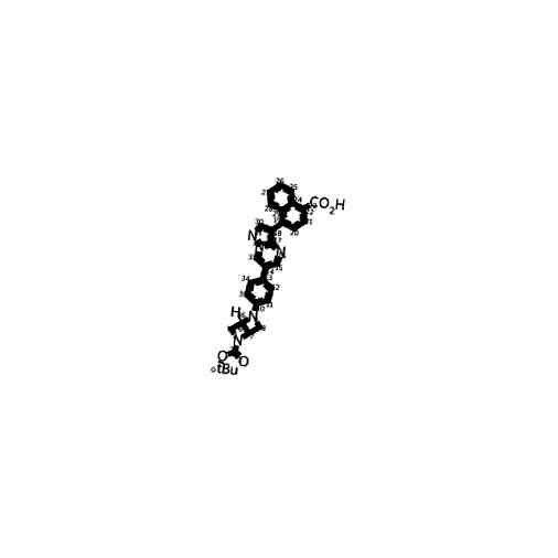 CC(C)(C)OC(=O)N1C[C@@H]2C1CN2c1ccc(-c2cnc3c(-c4ccc(C(=O)O)c5ccccc45)cnn3c2)cc1